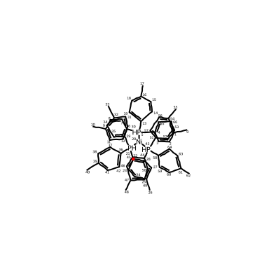 Cc1ccc([PH](c2ccc(C)cc2)(c2ccc(C)cc2)[Ni]([PH](c2ccc(C)cc2)(c2ccc(C)cc2)c2ccc(C)cc2)[PH](c2ccc(C)cc2)(c2ccc(C)cc2)c2ccc(C)cc2)cc1